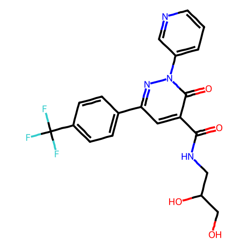 O=C(NCC(O)CO)c1cc(-c2ccc(C(F)(F)F)cc2)nn(-c2cccnc2)c1=O